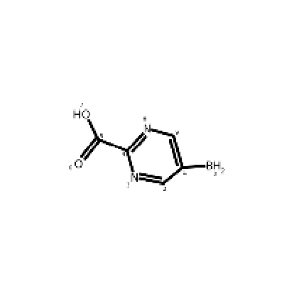 Bc1cnc(C(=O)O)nc1